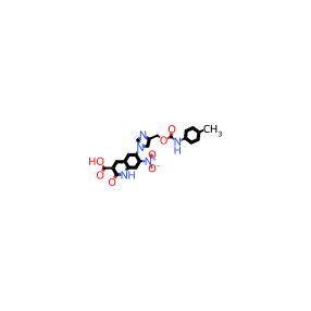 Cc1ccc(NC(=O)OCc2cn(-c3cc4cc(C(=O)O)c(=O)[nH]c4cc3[N+](=O)[O-])cn2)cc1